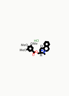 CC[C@]12CC3[C@@H](COC(=O)c4cc(OC)c(OC)c(OC)c4)CC1C(Cc1ccccc12)N3C.Cl